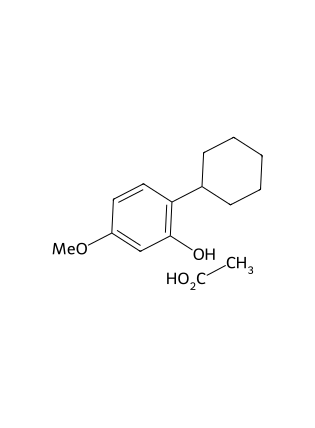 CC(=O)O.COc1ccc(C2CCCCC2)c(O)c1